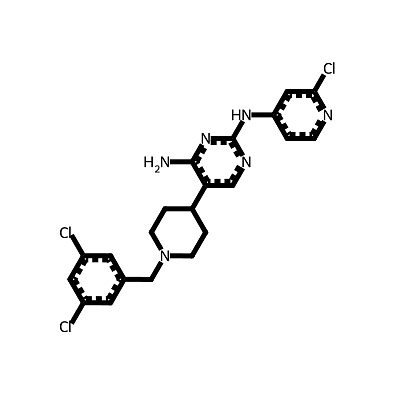 Nc1nc(Nc2ccnc(Cl)c2)ncc1C1CCN(Cc2cc(Cl)cc(Cl)c2)CC1